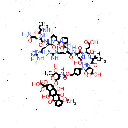 CC[C@H](N)C(=O)N[C@@H](CCC(N)=O)C(=O)N[C@@H](CCCNC(=N)N)C(=O)N1CCC[C@H]1C(O)N1CCC[C@H]1C(=O)N[C@@H](CCCNC(=N)N)C(=O)N[C@@H](CC(=O)O)C(=O)N[C@@H](CCC(=O)O)C(=O)N[C@H](C(=O)N[C@@H](CC(=O)O)C(=O)Nc1ccc(COC(=O)N[C@H]2C[C@H](O[C@H]3C[C@](O)(C(=O)CO)Cc4c(O)c5c(c(O)c43)C(=O)c3c(OC)cccc3C5=O)O[C@@H](C)[C@H]2O)cc1)C(C)C